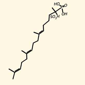 CC(C)=CCC/C(C)=C/CC/C(C)=C/CCCC(C)(P(=O)(O)O)S(=O)(=O)O